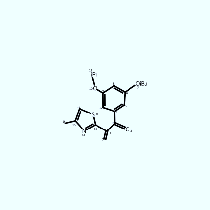 C=C(C(=O)c1cc(OCC(C)C)cc(OC(C)C)c1)c1nc(C)cs1